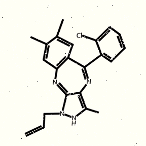 C=CCN1NC(C)=C2N=C(c3ccccc3Cl)c3cc(C)c(C)cc3N=C21